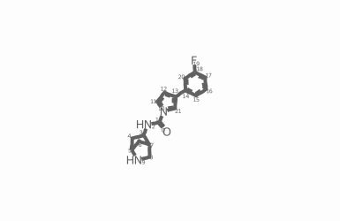 O=C(NC1CC2CC1CN2)n1ccc(-c2cccc(F)c2)c1